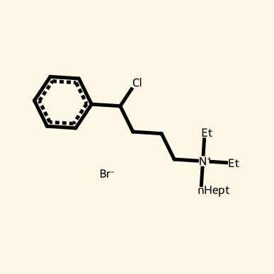 CCCCCCC[N+](CC)(CC)CCCC(Cl)c1ccccc1.[Br-]